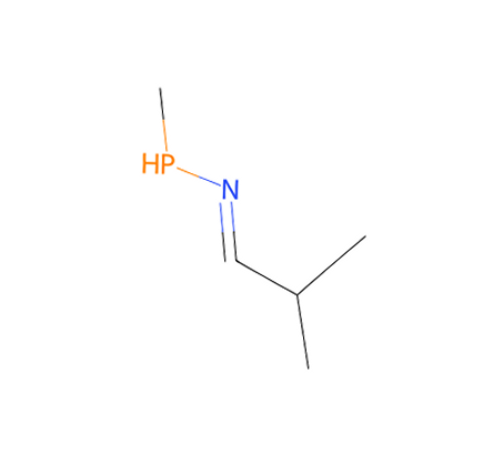 CP/N=C/C(C)C